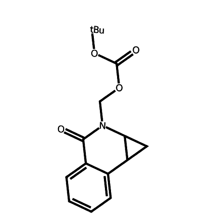 CC(C)(C)OC(=O)OCN1C(=O)c2ccccc2C2CC21